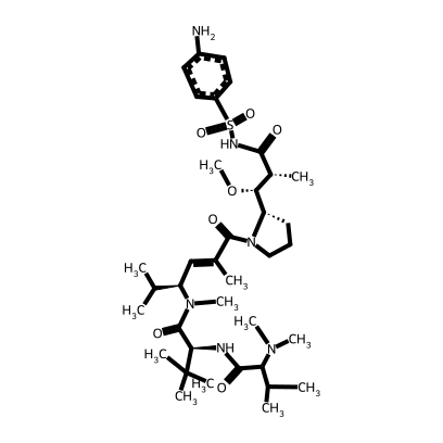 CO[C@H]([C@@H](C)C(=O)NS(=O)(=O)c1ccc(N)cc1)[C@@H]1CCCN1C(=O)/C(C)=C/[C@H](C(C)C)N(C)C(=O)[C@@H](NC(=O)C(C(C)C)N(C)C)C(C)(C)C